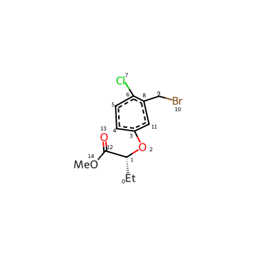 CC[C@@H](Oc1ccc(Cl)c(CBr)c1)C(=O)OC